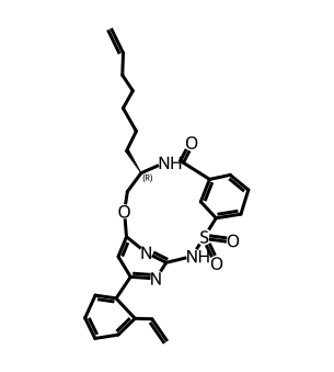 C=CCCCCC[C@@H]1COc2cc(-c3ccccc3C=C)nc(n2)NS(=O)(=O)c2cccc(c2)C(=O)N1